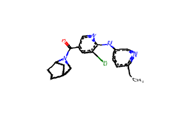 Cc1ccc(Nc2ncc(C(=O)N3CC4CCC3C4)cc2Cl)cn1